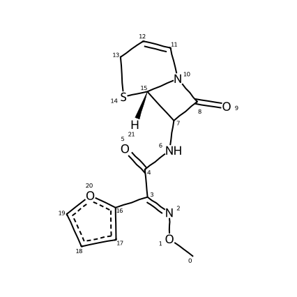 CON=C(C(=O)NC1C(=O)N2C=CCS[C@@H]12)c1ccco1